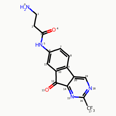 NCCC(=O)Nc1ccc2c(c1)C(=O)c1nc(C(F)(F)F)ncc1-2